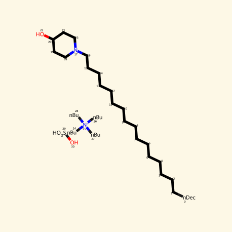 CCCCCCCCCCCCCCCCCCCCCCCCCCN1CCC(O)CC1.CCCC[N+](CCCC)(CCCC)CCCC.O=S(=O)(O)O